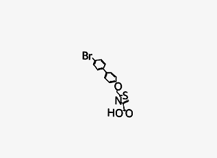 O=C(O)c1csc(COc2ccc(-c3ccc(Br)cc3)cc2)n1